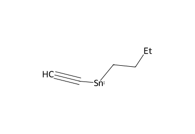 C#[C][Sn][CH2]CCC